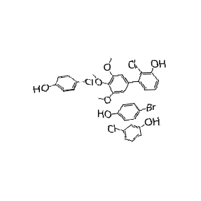 COc1cc(-c2cccc(O)c2Cl)cc(OC)c1OC.Oc1ccc(Br)cc1.Oc1ccc(Cl)cc1.Oc1cccc(Cl)c1